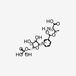 C[C@@H](OC(=O)c1ccc[n+]([C@@H]2O[C@H](COP(=O)(O)O)[C@@H](O)[C@H]2O)c1)[C@H](N)C(=O)O